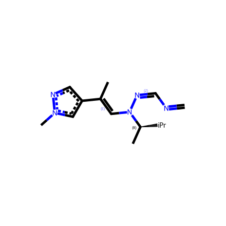 C=N/C=N\N(/C=C(\C)c1cnn(C)c1)[C@H](C)C(C)C